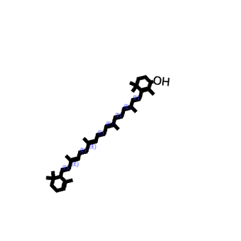 CC1=CCCC(C)(C)C1/C=C/C(C)=C/C=C/C(C)=C/C=C/C=C(C)/C=C/C=C(C)/C=C/C1=C(C)C(O)CCC1(C)C